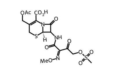 CO/N=C(/C(=O)COS(C)(=O)=O)C(=O)NC1C(=O)N2C(C(=O)O)=C(COC(C)=O)CS[C@H]12